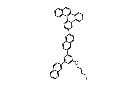 CCCCCOc1cc(-c2ccc3ccccc3c2)cc(-c2ccc3cc(-c4ccc5c(c4)c4ccccc4c4ccc6ccccc6c45)ccc3c2)c1